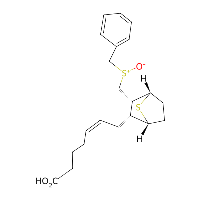 O=C(O)CCC/C=C\C[C@@H]1[C@H](C[S+]([O-])Cc2ccccc2)[C@@H]2CC[C@H]1S2